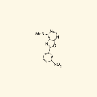 CNc1ncnc2oc(-c3cccc([N+](=O)[O-])c3)nc12